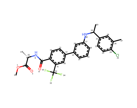 COC(=O)[C@H](C)NC(=O)c1ccc(-c2cccc(NC(C)c3ccc(Cl)c(C)c3)c2)cc1C(F)(F)F